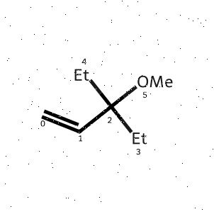 C=CC(CC)(CC)OC